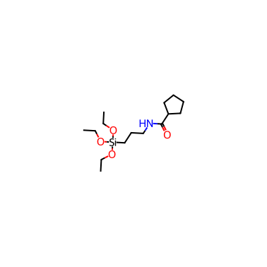 CCO[Si](CCCNC(=O)C1CCCC1)(OCC)OCC